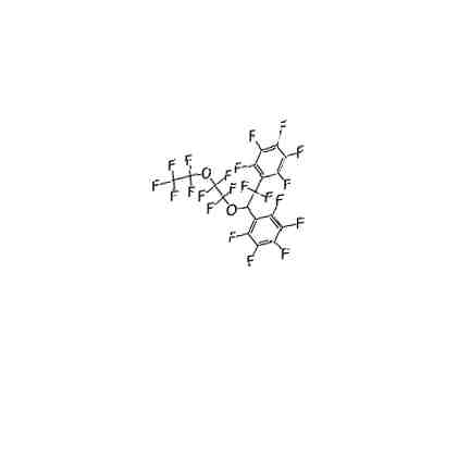 Fc1c(F)c(F)c(C(OC(F)(F)C(F)(F)OC(F)(F)C(F)(F)F)C(F)(F)c2c(F)c(F)c(F)c(F)c2F)c(F)c1F